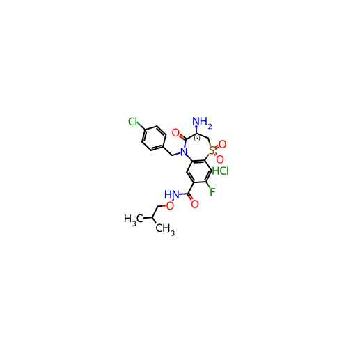 CC(C)CONC(=O)c1cc2c(cc1F)S(=O)(=O)C[C@H](N)C(=O)N2Cc1ccc(Cl)cc1.Cl